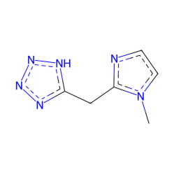 Cn1ccnc1Cc1nnn[nH]1